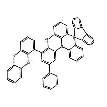 B1c2cccc3c2N(c2ccccc2[Si]32c3ccccc3-c3ccccc32)c2cc(-c3ccccc3)cc(-c3cccc4c3Nc3ccccc3O4)c21